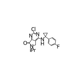 CC(C)N1Cc2c(NC3(c4ccc(F)cc4)CC3)nc(Cl)nc2C1=O